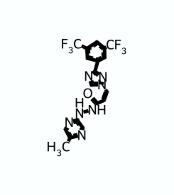 Cc1cnc(NNC(=O)/C=C\n2cnc(-c3cc(C(F)(F)F)cc(C(F)(F)F)c3)n2)cn1